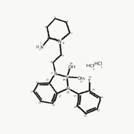 Cl.Cl.NC1CCCCN1CCN1c2ccccc2N(c2ccccc2F)S1(O)O